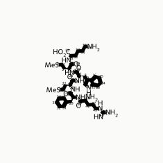 CSCC[C@H](NC(=O)[C@H](Cc1c[nH]c2ccccc12)NC(=O)[C@H](CCSC)NC(=O)[C@H](Cc1ccccc1)NC(=O)[C@@H](N)CCCNC(=N)N)C(=O)N[C@@H](CCCCN)C(=O)O